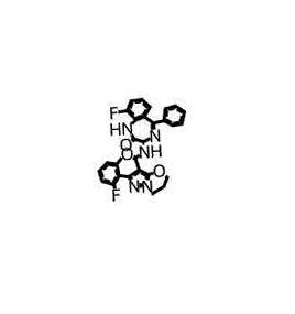 Cc1cccc(F)c1-c1nn2c(c1C(=O)N[C@H]1N=C(c3ccccc3)c3cccc(F)c3NC1=O)OCCC2